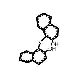 Oc1ccc2ccccc2c1Sc1c(O)ccc2ccccc12